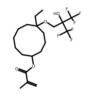 C=C(C)C(=O)OC1CCCCCC(CC)(OCC(O)(C(F)(F)F)C(F)(F)F)CCC1